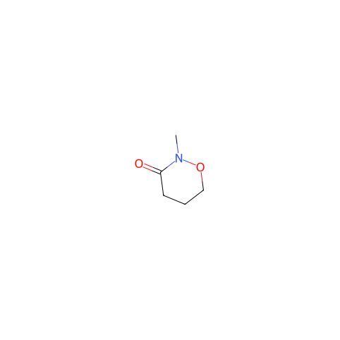 CN1OCCCC1=O